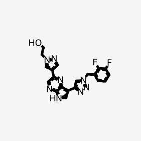 OCCn1cc(-c2cnc3[nH]cc(-c4cn(Cc5cccc(F)c5F)nn4)c3n2)cn1